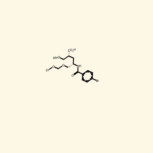 CCOCOC[C@H](C[C@H](COC)C(=O)O)NC(=O)c1ccc(Br)cc1